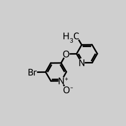 Cc1cccnc1Oc1cc(Br)c[n+]([O-])c1